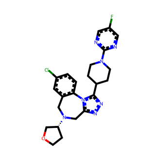 Fc1cnc(N2CCC(c3nnc4n3-c3ccc(Cl)cc3CN([C@@H]3CCOC3)C4)CC2)nc1